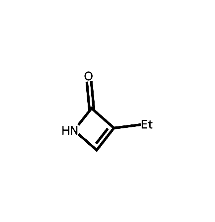 CCC1=CNC1=O